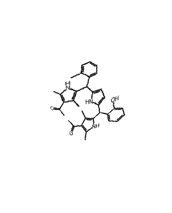 CC(=O)c1c(C)[nH]c(C(c2ccc(C(c3ccccc3O)c3[nH]c(C)c(C(C)=O)c3C)[nH]2)c2ccccc2C)c1C